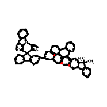 CC1(C)c2ccccc2-c2ccc(N(c3ccc4cc(-c5ccc6c(c5)C5(c7ccccc7-6)c6ccccc6-n6c7ccccc7c7cccc5c76)ccc4c3)c3ccccc3-c3ccccc3-c3ccccc3)cc21